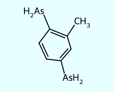 Cc1cc([AsH2])ccc1[AsH2]